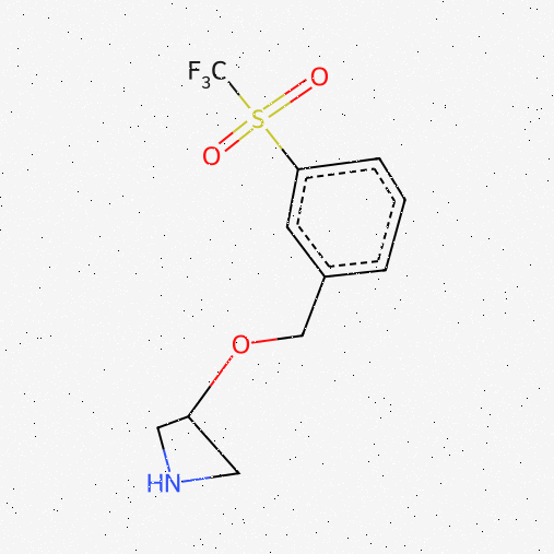 O=S(=O)(c1cccc(COC2CNC2)c1)C(F)(F)F